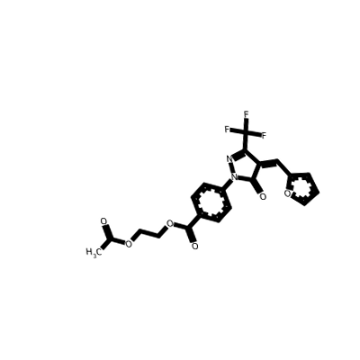 CC(=O)OCCOC(=O)c1ccc(N2N=C(C(F)(F)F)C(=Cc3ccco3)C2=O)cc1